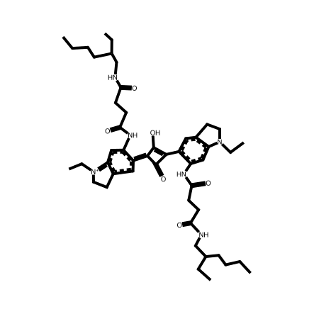 CCCCC(CC)CNC(=O)CCC(=O)Nc1cc2c(cc1C1=C(O)/C(=c3/cc4c(cc3NC(=O)CCC(=O)NCC(CC)CCCC)=[N+](CC)CC4)C1=O)CCN2CC